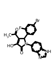 CC(=O)C1=C(O)C(=O)N(c2ccc3[nH]cnc3c2)C1c1ccc(Br)cc1F